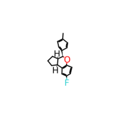 Cc1ccc([C@H]2Oc3ccc(F)cc3[C@H]3CCC[C@H]32)cc1